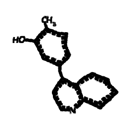 Cc1ccc(-c2ccnc3ccccc23)cc1O